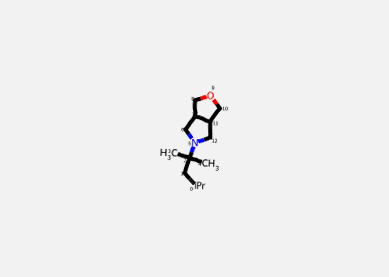 CC(C)CC(C)(C)N1CC2COCC2C1